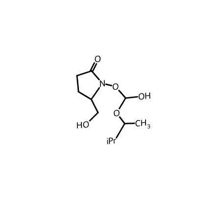 CC(C)C(C)OC(O)ON1C(=O)CCC1CO